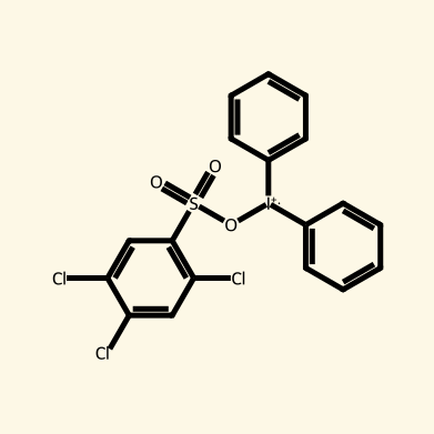 O=S(=O)(O[I+](c1ccccc1)c1ccccc1)c1cc(Cl)c(Cl)cc1Cl